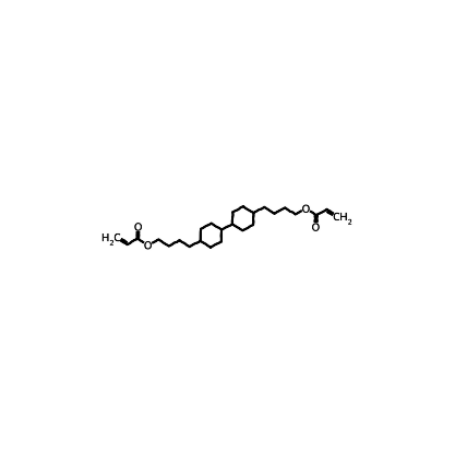 C=CC(=O)OCCCCC1CCC(C2CCC(CCCCOC(=O)C=C)CC2)CC1